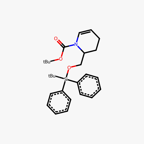 CC(C)(C)OC(=O)N1C=CCCC1CO[Si](c1ccccc1)(c1ccccc1)C(C)(C)C